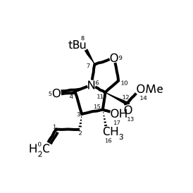 C=CC[C@@H]1C(=O)N2[C@@H](C(C)(C)C)OC[C@]2(C(=O)OC)[C@@]1(C)O